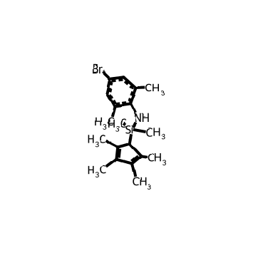 CC1=C(C)C([Si](C)(C)Nc2c(C)cc(Br)cc2C)C(C)=C1C